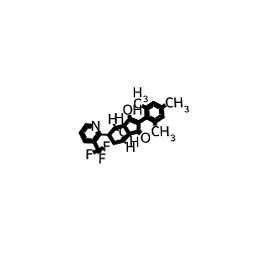 Cc1cc(C)c(C2=C(O)[C@@H]3[C@@H]4O[C@@H](C[C@H]4c4ncccc4C(F)(F)F)[C@@H]3C2=O)c(C)c1